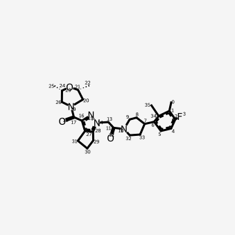 Cc1c(F)ccc(C2CCN(C(=O)Cn3nc(C(=O)N4C[C@@H](C)O[C@@H](C)C4)c4c3CCC4)CC2)c1C